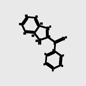 O=C(c1cc[c]cc1)c1nc2ccccc2[nH]1